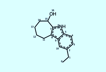 CCc1ccc2[nH]c3c(c2c1)CCCCC3O